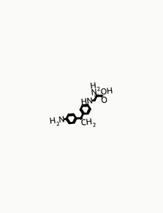 C=C(c1ccc(N)cc1)c1ccc(NC[C@@H](N)C(=O)O)cc1